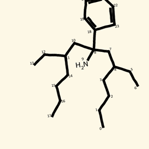 CCCCC(CC)CC(N)(CC(CC)CCCC)c1ccccc1